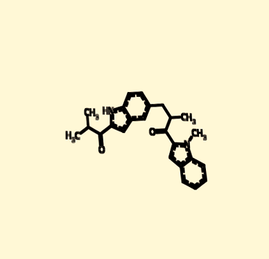 CC(C)C(=O)c1cc2cc(CC(C)C(=O)c3cc4ccccc4n3C)ccc2[nH]1